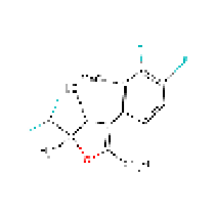 CCOC(=O)C1=C(c2ccc(F)c(F)c2OC)C(C)C(C)(C(F)F)O1